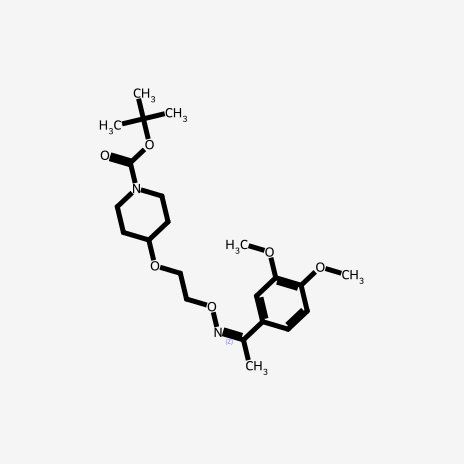 COc1ccc(/C(C)=N\OCCOC2CCN(C(=O)OC(C)(C)C)CC2)cc1OC